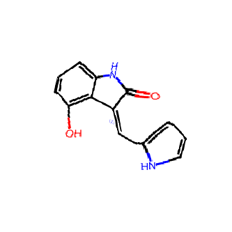 O=C1Nc2cccc(O)c2/C1=C/c1ccc[nH]1